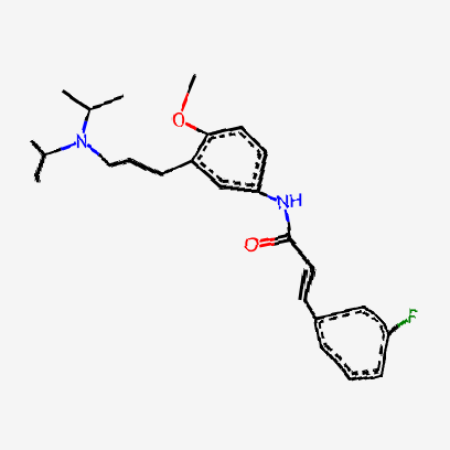 COc1ccc(NC(=O)C=Cc2cccc(F)c2)cc1CCCN(C(C)C)C(C)C